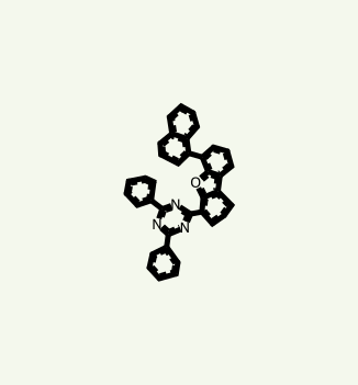 c1ccc(-c2nc(-c3ccccc3)nc(-c3cccc4c3oc3c(-c5cccc6ccccc56)cccc34)n2)cc1